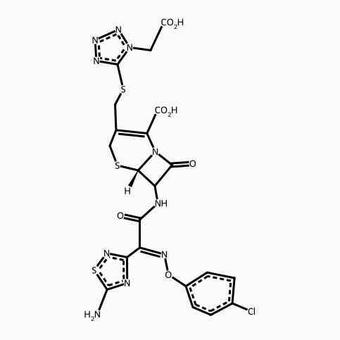 Nc1nc(C(=NOc2ccc(Cl)cc2)C(=O)NC2C(=O)N3C(C(=O)O)=C(CSc4nnnn4CC(=O)O)CS[C@@H]23)ns1